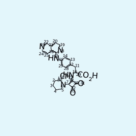 C[C@H]1CCCCN1c1c(NC(Cc2ccc(Nc3nccc4cnccc34)cc2)C(=O)O)c(=O)c1=O